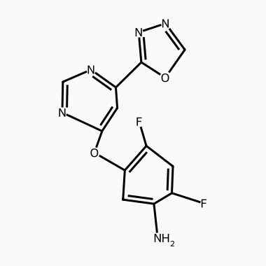 Nc1cc(Oc2cc(-c3nnco3)ncn2)c(F)cc1F